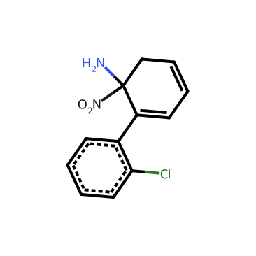 NC1([N+](=O)[O-])CC=CC=C1c1ccccc1Cl